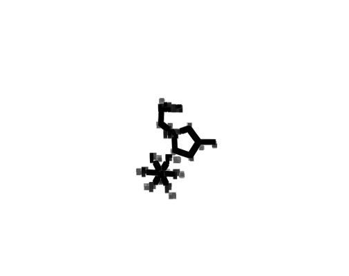 CCCCCCCCCC[NH+]1CCC(C)C1.[F][Sb-]([F])([F])([F])([F])[F]